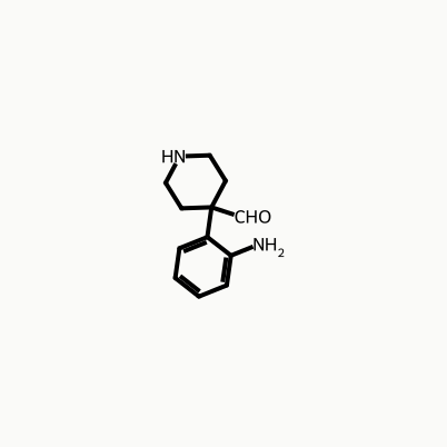 Nc1ccccc1C1(C=O)CCNCC1